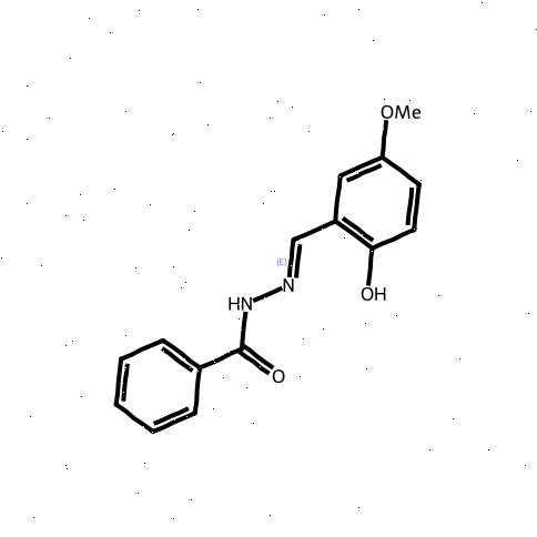 COc1ccc(O)c(/C=N/NC(=O)c2ccccc2)c1